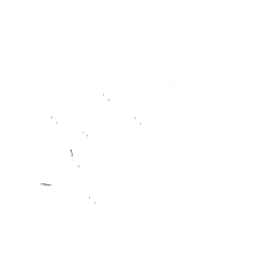 Cc1ccc(S(=O)(=O)n2ccc3c2ncc2ncc([C@H]4CNC[C@H]4I)n23)cc1